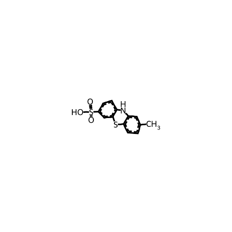 Cc1ccc2c(c1)Nc1ccc(S(=O)(=O)O)cc1S2